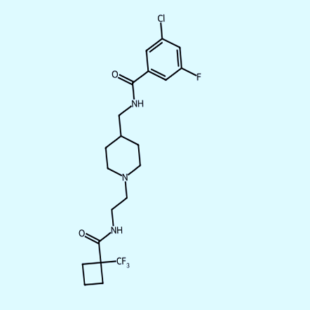 O=C(NCC1CCN(CCNC(=O)C2(C(F)(F)F)CCC2)CC1)c1cc(F)cc(Cl)c1